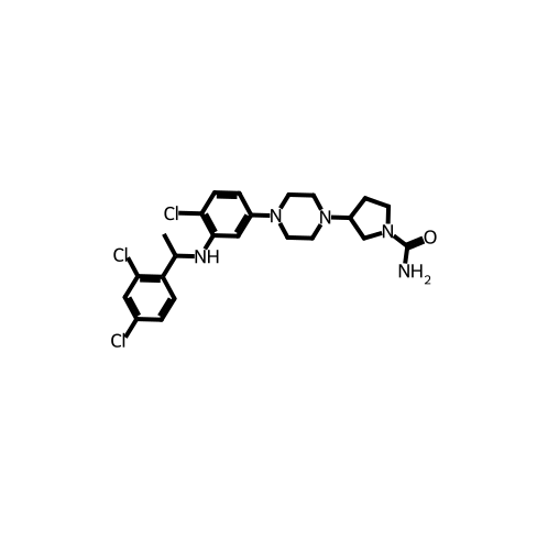 CC(Nc1cc(N2CCN(C3CCN(C(N)=O)C3)CC2)ccc1Cl)c1ccc(Cl)cc1Cl